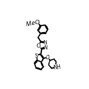 COc1cccc(Cc2nnc(-c3sc4ccccc4c3OC3CCNCC3)o2)c1